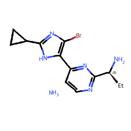 CC[C@H](N)c1nccc(-c2[nH]c(C3CC3)nc2Br)n1.N